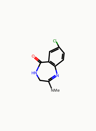 CNC1=Nc2ccc(Cl)cc2C(=O)NC1